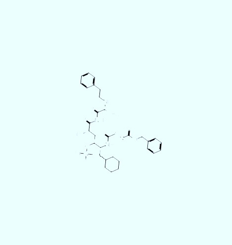 CC[C@H](C)[C@H](NCCc1ccccc1)C(=O)NC(=O)[C@@H](C[C@H](O[Si](C)(C)C(C)(C)C)[C@H](CC1CCCCC1)NC(=O)[C@@H](NC(=O)OCc1ccccc1)[C@@H](C)CC)C(C)C